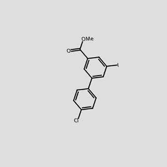 COC(=O)c1cc(I)cc(-c2ccc(Cl)cc2)c1